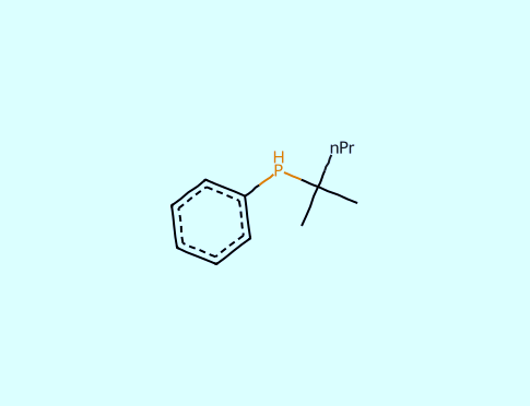 CCCC(C)(C)Pc1ccccc1